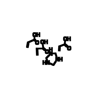 C1NCNCN1.C=CC(=O)O.C=CC(=O)O.C=CC(=O)O